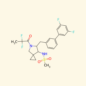 CC(F)(F)C(=O)N1CC2(CC2)C(NS(C)(=O)=O)C1Cc1cccc(-c2cc(F)cc(F)c2)c1